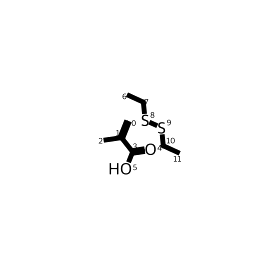 C=C(C)C(=O)O.CCSSCC